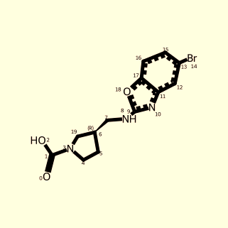 O=C(O)N1CC[C@H](CNc2nc3cc(Br)ccc3o2)C1